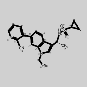 CC(C)(C)Cn1cc([C@H](NS(=O)(=O)C2CC2)C(F)(F)F)c2ccc(-c3cccnc3C#N)cc21